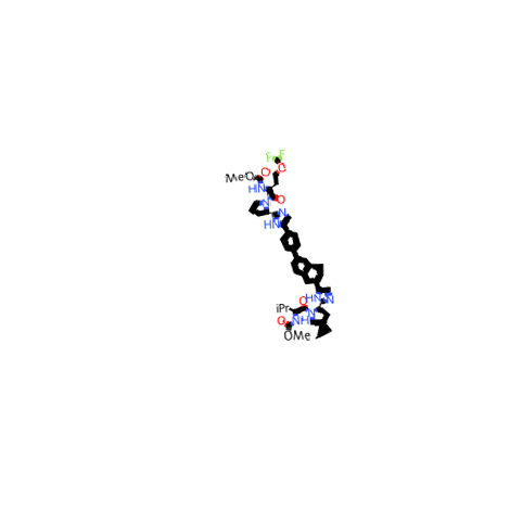 COC(=O)N[C@@H](CCOC(F)F)C(=O)N1CCC[C@H]1c1ncc(-c2ccc(-c3ccc4cc(-c5cnc([C@@H]6CC7(CC7)CN6C(=O)[C@@H](NC(=O)OC)C(C)C)[nH]5)ccc4c3)cc2)[nH]1